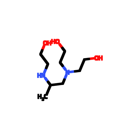 CC(CN(CCO)CCO)NCCO